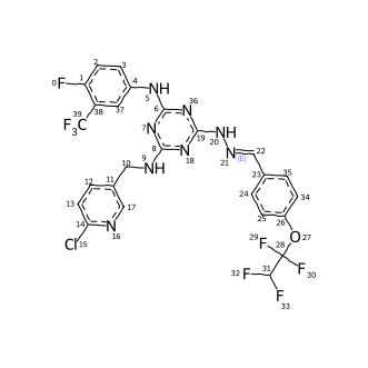 Fc1ccc(Nc2nc(NCc3ccc(Cl)nc3)nc(N/N=C/c3ccc(OC(F)(F)C(F)F)cc3)n2)cc1C(F)(F)F